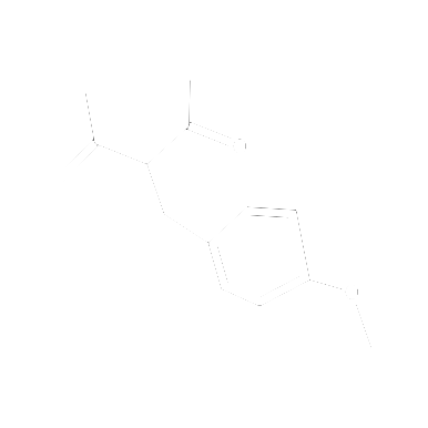 C=C(C)C(Cc1ccc(OC)cc1)C(C)=O